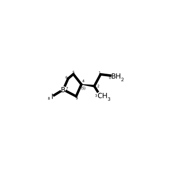 BCC(C)[C@@H]1CCB(I)C1